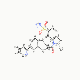 CC[C@H]1Cc2ccc(S(N)(=O)=O)cc2N1C(=O)[C@@H]1Cc2ccc(-c3ccccn3)cc2C1